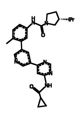 Cc1ccc(NC(=O)N2CC[C@H](C(C)C)C2)cc1-c1cncc(-c2cc(NC(=O)C3CC3)ncn2)c1